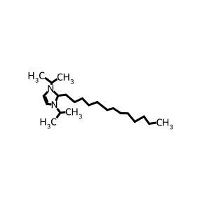 CCCCCCCCCCCCCC1N(C(C)C)C=CN1C(C)C